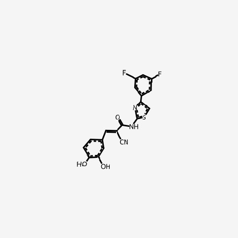 N#C/C(=C\c1ccc(O)c(O)c1)C(=O)Nc1nc(-c2cc(F)cc(F)c2)cs1